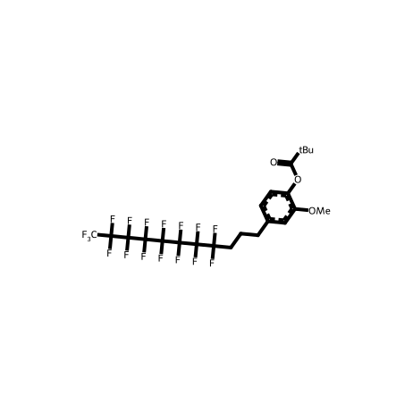 COc1cc(CCCC(F)(F)C(F)(F)C(F)(F)C(F)(F)C(F)(F)C(F)(F)C(F)(F)C(F)(F)F)ccc1OC(=O)C(C)(C)C